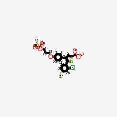 COC(=O)c1cc(-c2ccc(OCCCOS(C)(=O)=O)cc2)c(-c2ccc(F)cc2Cl)s1